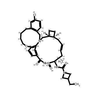 CCC1CN(C(=O)NC2[C@@H](C)C/C=C/C[C@@H]3CC[C@H]3CN3Cc4ccc(Cl)cc4CCCCOc4ccc(cc43)C(=O)/N=[SH]\2=O)C1